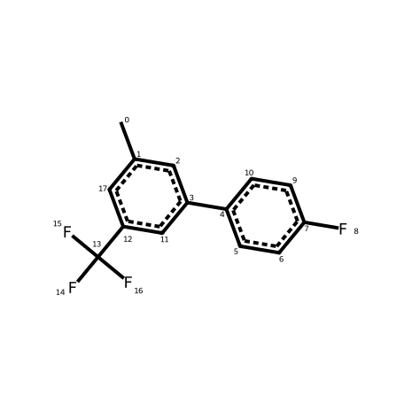 Cc1cc(-c2ccc(F)cc2)cc(C(F)(F)F)c1